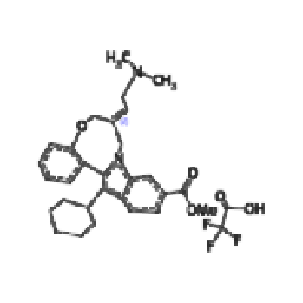 COC(=O)c1ccc2c(C3CCCCC3)c3n(c2c1)C/C(=C/CN(C)C)COc1ccccc1-3.O=C(O)C(F)(F)F